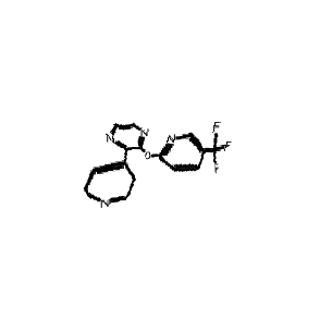 FC(F)(F)c1ccc(Oc2nccnc2C2=CCN=CC2)nc1